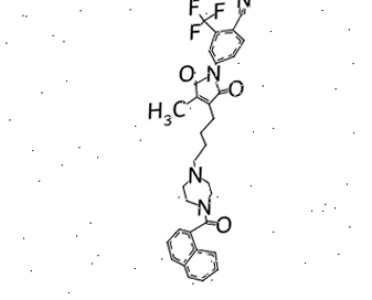 CC1=C(CCCCN2CCN(C(=O)c3cccc4ccccc34)CC2)C(=O)N(c2ccc(C#N)c(C(F)(F)F)c2)C1=O